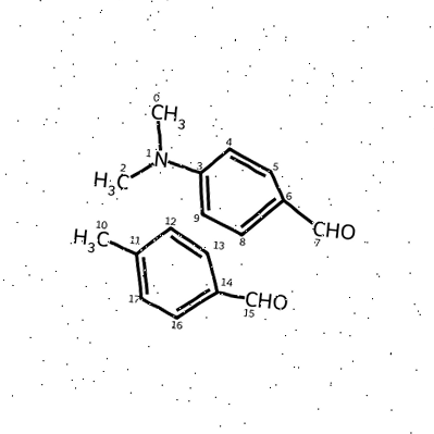 CN(C)c1ccc(C=O)cc1.Cc1ccc(C=O)cc1